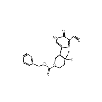 O=Cc1cc(C2CN(C(=O)OCc3ccccc3)CCC2(F)F)c[nH]c1=O